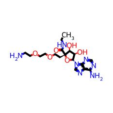 CCNC(=O)[C@@]1(CCOCCOCCN)O[C@@H](n2cnc3c(N)ncnc32)[C@H](O)[C@@H]1O